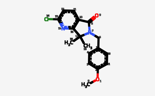 COc1ccc(CN2C(=O)c3ccc(Cl)nc3C2(C)C)cc1